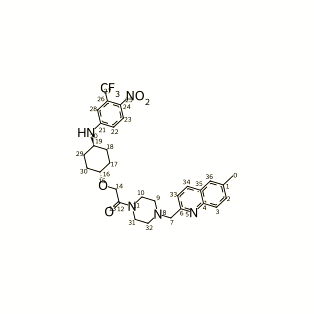 Cc1ccc2nc(CN3CCN(C(=O)CO[C@H]4CC[C@H](Nc5ccc([N+](=O)[O-])c(C(F)(F)F)c5)CC4)CC3)ccc2c1